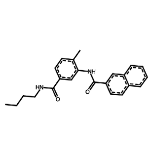 CCCCNC(=O)c1ccc(C)c(NC(=O)c2ccc3ccccc3c2)c1